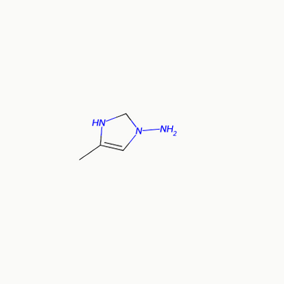 CC1=CN(N)CN1